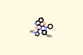 CC(C)(C)c1ccc(N(C(=O)C2CCCN2C#N)C(C(=O)NC2CCCCC2)c2cncc3ccccc23)cc1